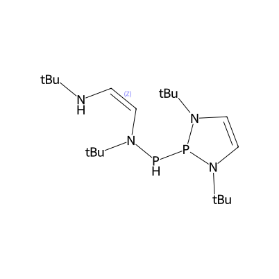 CC(C)(C)N/C=C\N(PP1N(C(C)(C)C)C=CN1C(C)(C)C)C(C)(C)C